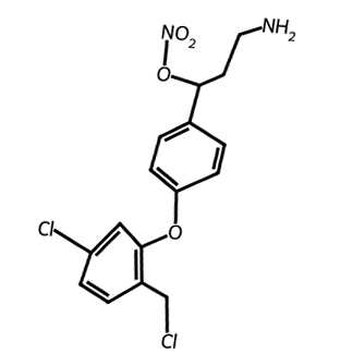 NCCC(O[N+](=O)[O-])c1ccc(Oc2cc(Cl)ccc2CCl)cc1